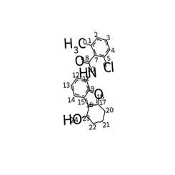 Cc1cccc(Cl)c1C(=O)Nc1cccc2c3c(oc12)CCCC3O